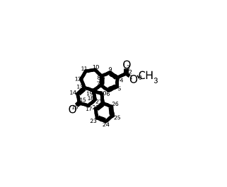 COC(=O)c1ccc2c(c1)CCCC1=CC(=O)CCC12Cc1ccccc1